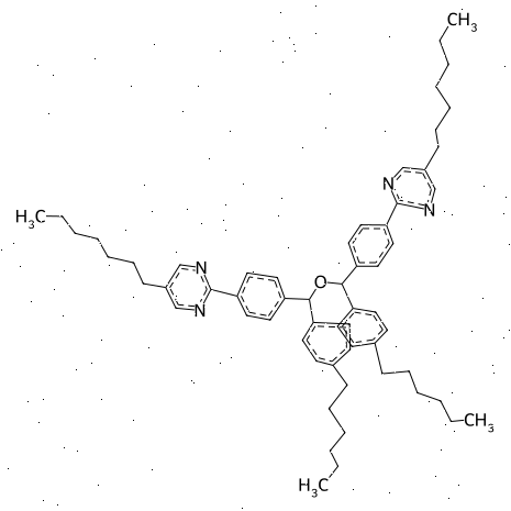 CCCCCCCc1cnc(-c2ccc(C(OC(c3ccc(CCCCCC)cc3)c3ccc(-c4ncc(CCCCCCC)cn4)cc3)c3ccc(CCCCCC)cc3)cc2)nc1